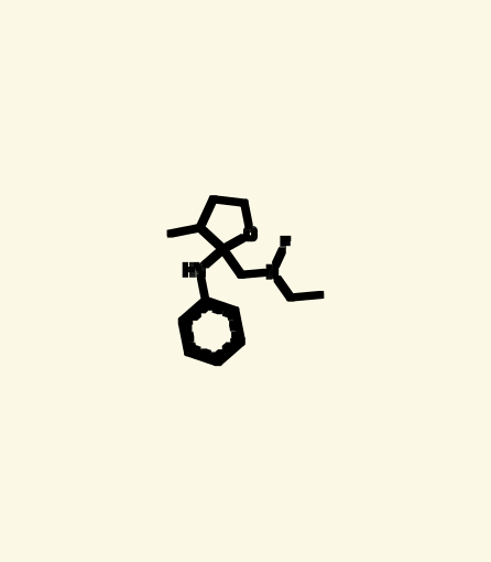 CCN(F)CC1(Nc2ccccc2)OCCC1C